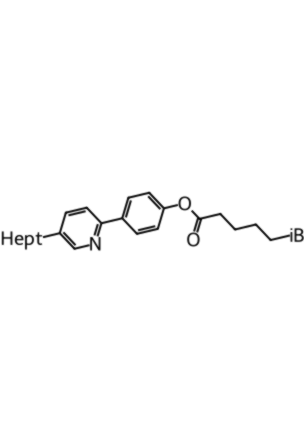 CCCCCCCc1ccc(-c2ccc(OC(=O)CCCCC(C)CC)cc2)nc1